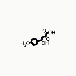 Cc1ccc(/C(O)=C/C(=O)C(=O)O)cc1